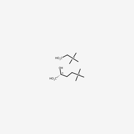 C[N+](C)(C)CC(=O)O.C[N+](C)(C)CC[C@@H](O)C(=O)O